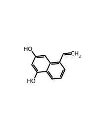 C=Cc1cccc2c(O)cc(O)cc12